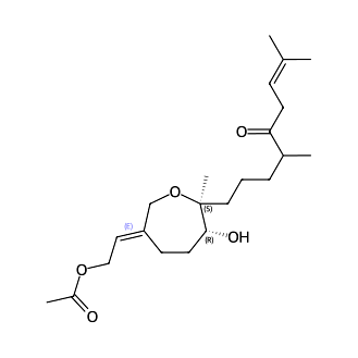 CC(=O)OC/C=C1\CC[C@@H](O)[C@](C)(CCCC(C)C(=O)CC=C(C)C)OC1